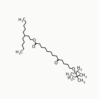 CCCCCC(CCCCC)CCOC(=O)CCCCCCCC(=O)CCCCO[Si](C)(C)C(C)(C)C